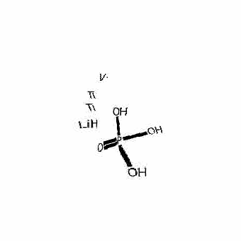 O=P(O)(O)O.[LiH].[Ti].[Ti].[V]